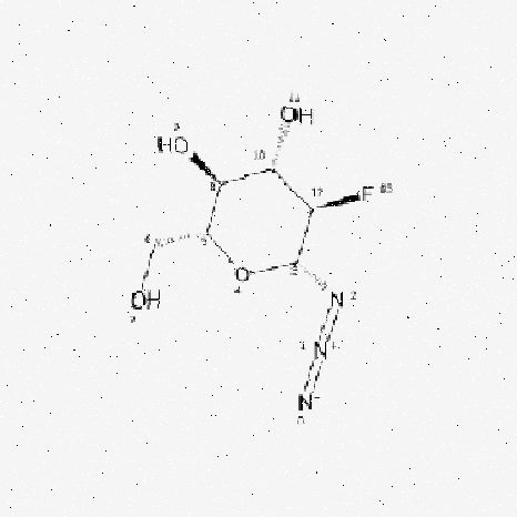 [N-]=[N+]=N[C@@H]1O[C@H](CO)[C@@H](O)[C@H](O)[C@H]1F